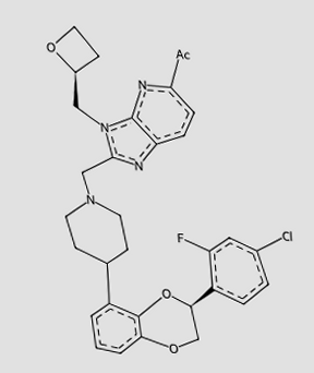 CC(=O)c1ccc2nc(CN3CCC(c4cccc5c4O[C@@H](c4ccc(Cl)cc4F)CO5)CC3)n(C[C@@H]3CCO3)c2n1